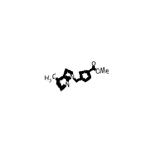 COC(=O)c1ccc(Cn2ccc3c(C)ccnc32)cc1